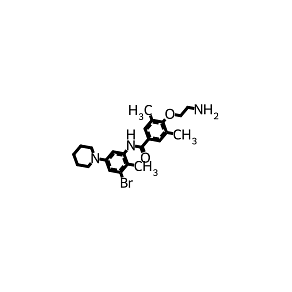 Cc1cc(C(=O)Nc2cc(N3CCCCC3)cc(Br)c2C)cc(C)c1OCCN